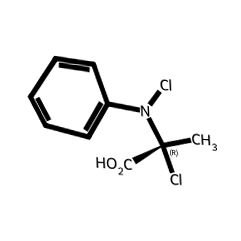 C[C@@](Cl)(C(=O)O)N(Cl)c1ccccc1